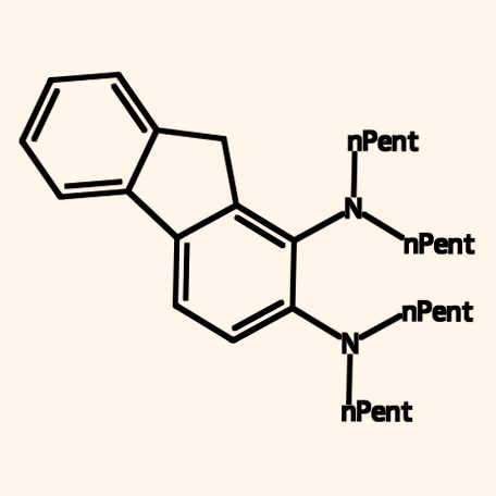 CCCCCN(CCCCC)c1ccc2c(c1N(CCCCC)CCCCC)Cc1ccccc1-2